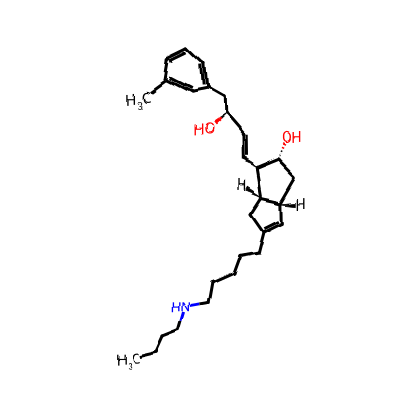 CCCCNCCCCCC1=C[C@H]2C[C@@H](O)[C@H](/C=C/[C@@H](O)Cc3cccc(C)c3)[C@H]2C1